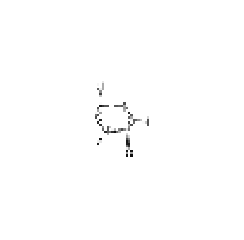 Cn1cc(Cl)cc(I)c1=O